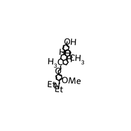 CCN(CC)Cc1ccc(OCC[C@H]2CC[C@H]3[C@@H]4[C@H](C)Cc5cc(O)ccc5[C@H]4CC[C@]23C)cc1OC